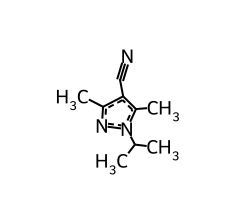 Cc1nn(C(C)C)c(C)c1C#N